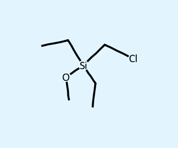 CC[Si](CC)(CCl)OC